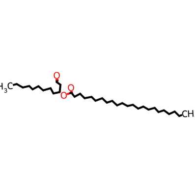 CCCCCCCCCCCCCCCCCCCCCCC(=O)OC(CC=O)CCCCCCCCC